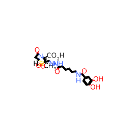 C[C@]1(/C=N/NC(=O)CCCCCNC(=O)c2ccc(O)c(O)c2)[C@H](C(=O)O)N2C(=O)C[C@H]2S1(=O)=O